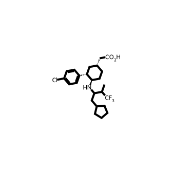 CC(C(CC1CCCC1)N[C@@H]1CC[C@@H](CC(=O)O)C[C@H]1c1ccc(Cl)cc1)C(F)(F)F